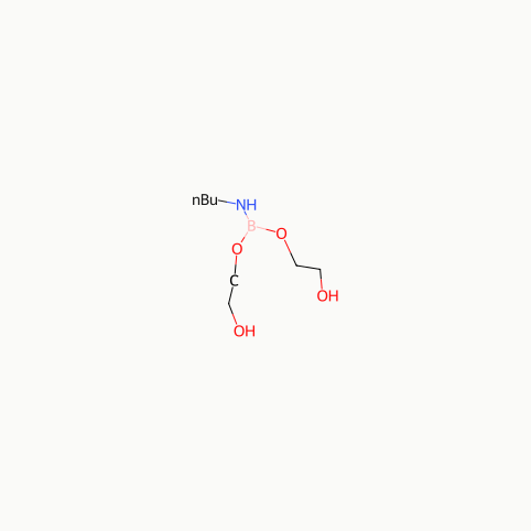 CCCCNB(OCCO)OCCO